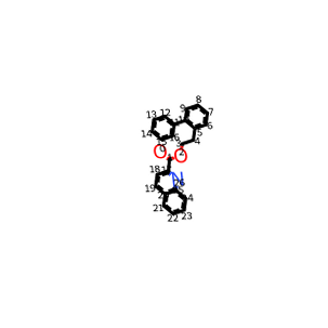 O=C(OCCc1ccccc1-c1ccccc1)c1ccc2ccccc2n1